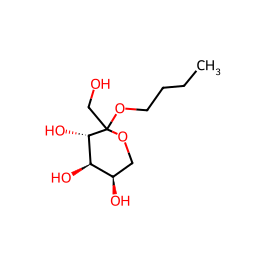 CCCCOC1(CO)OC[C@@H](O)[C@@H](O)[C@@H]1O